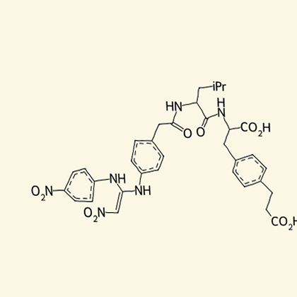 CC(C)CC(NC(=O)Cc1ccc(NC(=C[N+](=O)[O-])Nc2ccc([N+](=O)[O-])cc2)cc1)C(=O)NC(Cc1ccc(CCC(=O)O)cc1)C(=O)O